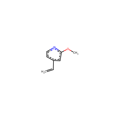 C=Cc1ccnc(OC)c1